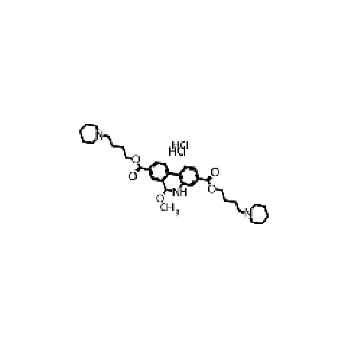 COC1Nc2cc(C(=O)OCCCCN3CCCCC3)ccc2-c2ccc(C(=O)OCCCCN3CCCCC3)cc21.Cl.Cl